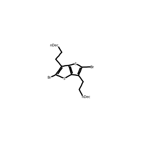 CCCCCCCCCCCCc1c(Br)sc2c(CCCCCCCCCCCC)c(Br)sc12